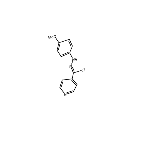 COc1ccc(N/N=C(\Cl)c2ccncc2)cc1